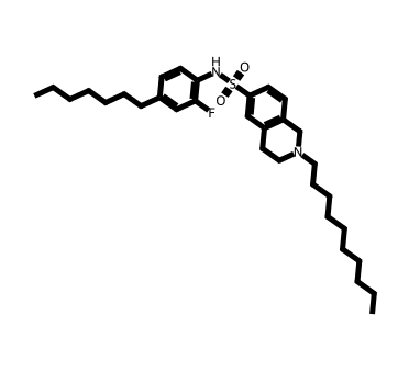 CCCCCCCCCCN1CCc2cc(S(=O)(=O)Nc3ccc(CCCCCCC)cc3F)ccc2C1